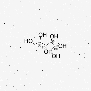 OC[C@@H](O)[C@H]1O[C@@H](O)[C@H](O)[C@@H]1O